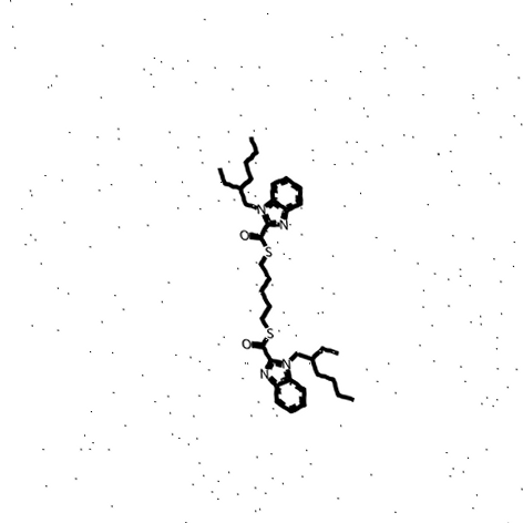 CCCCC(CC)Cn1c(C(=O)SCCCCCSC(=O)c2nc3ccccc3n2CC(CC)CCCC)nc2ccccc21